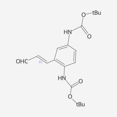 CC(C)(C)OC(=O)Nc1ccc(NC(=O)OC(C)(C)C)c(/C=C/C=O)c1